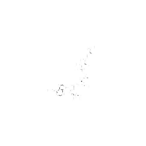 CNC(=O)CCNC(=O)C(O)C(C)(C)COP(=O)(O)OP(=O)(O)OCC1OC(n2cnc3c(N)ncnc32)C(O)C1OP(=O)(O)O